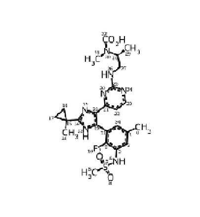 Cc1cc(NS(C)(=O)=O)c(F)c(-c2[nH]c(C3(C)CC3)nc2-c2ccnc(NC[C@H](C)N(C)C(=O)O)n2)c1